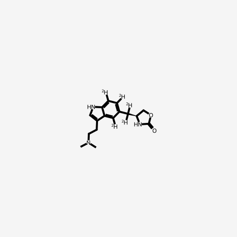 [2H]c1c(C([2H])([2H])[C@H]2COC(=O)N2)c([2H])c2c(CCN(C)C)c[nH]c2c1[2H]